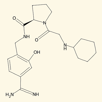 N=C(N)c1ccc(CNC(=O)[C@H]2CCCN2C(=O)CNC2CCCCC2)c(O)c1